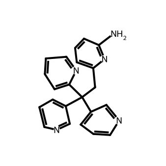 Nc1cccc(CC(c2cccnc2)(c2cccnc2)c2ccccn2)n1